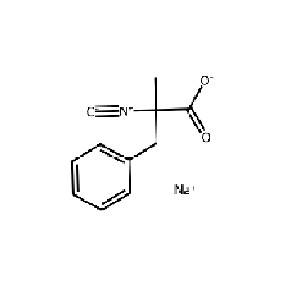 [C-]#[N+]C(C)(Cc1ccccc1)C(=O)[O-].[Na+]